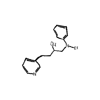 CCN(CC(O)CCc1cccnc1)c1ccccc1